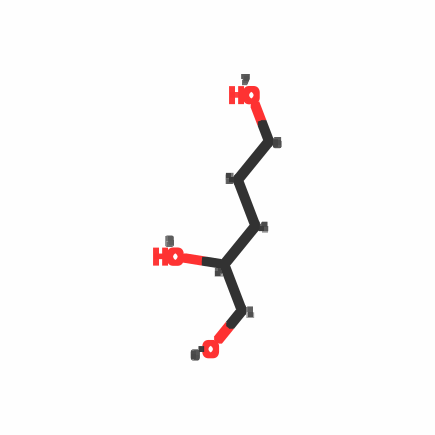 [O]CC(O)CCCO